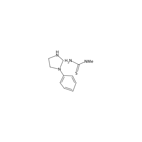 CNC(N)=S.c1ccc(N2CCNC2)cc1